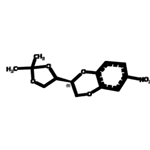 CC1(C)OCC([C@@H]2COc3cc([N+](=O)[O-])ccc3O2)O1